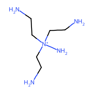 NCC[N+](N)(CCN)CCN